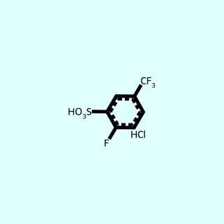 Cl.O=S(=O)(O)c1cc(C(F)(F)F)ccc1F